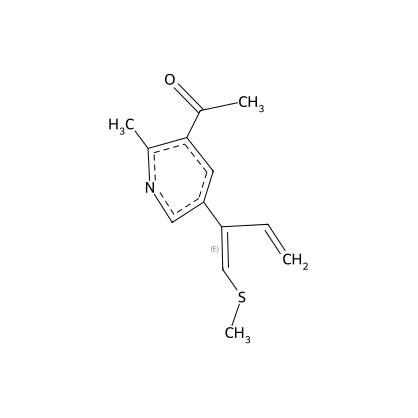 C=C/C(=C\SC)c1cnc(C)c(C(C)=O)c1